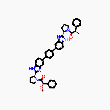 CO[C@@H](C(=O)N1CCC[C@H]1c1nc2cc(-c3ccc(-c4ccc5[nH]c([C@@H]6CCCN6C(=O)[C@H](C)c6ccccc6)nc5c4)cc3)ccc2[nH]1)c1ccccc1